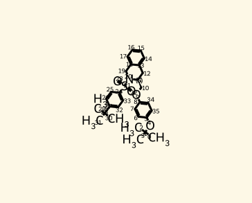 CC(C)(C)Oc1ccc(OC[C@@H]2Cc3ccccc3CN2S(=O)(=O)c2ccc(C(C)(C)C)cc2)cc1